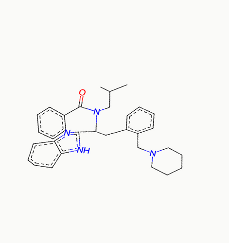 CC(C)CN(C(=O)c1ccccc1)C(Cc1ccccc1CN1CCCCC1)c1nc2ccccc2[nH]1